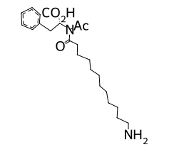 CC(=O)N(C(=O)CCCCCCCCCCCN)[C@H](Cc1ccccc1)C(=O)O